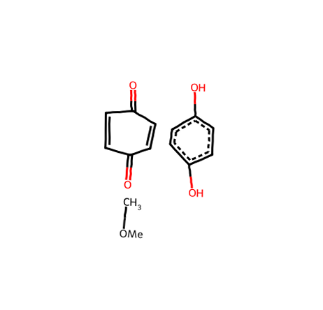 COC.O=C1C=CC(=O)C=C1.Oc1ccc(O)cc1